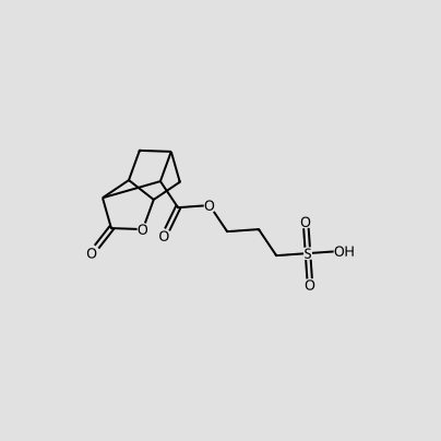 O=C(OCCCS(=O)(=O)O)C1C2CC3OC(=O)C1C3C2